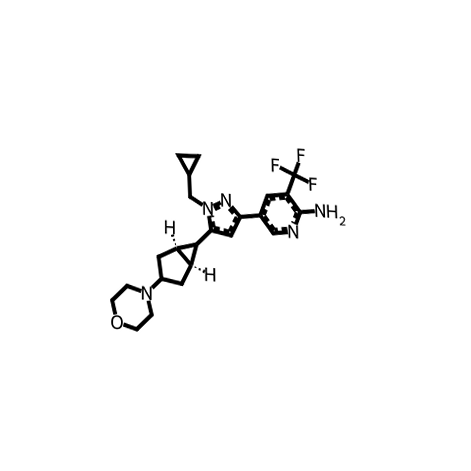 Nc1ncc(-c2cc(C3[C@H]4CC(N5CCOCC5)C[C@@H]34)n(CC3CC3)n2)cc1C(F)(F)F